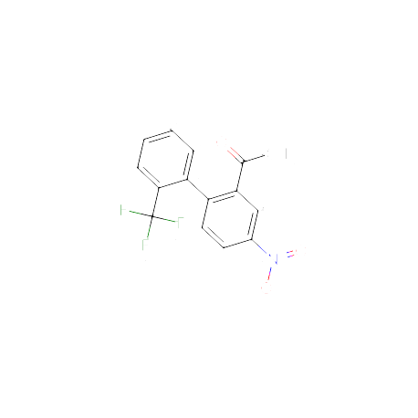 CC(=O)c1cc([N+](=O)[O-])ccc1-c1ccccc1C(F)(F)F